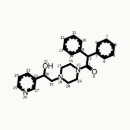 O=C(C(c1ccccc1)c1ccccc1)N1CCN(CC(O)c2cccnc2)CC1